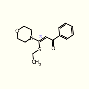 CCS/C(=C\C(=O)c1ccccc1)N1CCOCC1